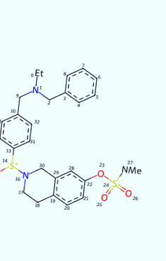 CCN(Cc1ccccc1)Cc1ccc([S+]([O-])N2CCc3ccc(OS(=O)(=O)NC)cc3C2)cc1